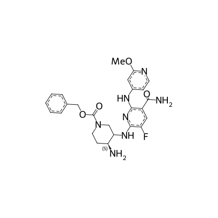 COc1cc(Nc2nc(NC3CN(C(=O)OCc4ccccc4)CC[C@@H]3N)c(F)cc2C(N)=O)ccn1